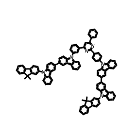 CC1(C)c2ccccc2-c2ccc(-n3c4ccccc4c4cc(-c5ccc6c(c5)c5ccccc5n6-c5ccc(-c6nc(-c7ccccc7)cc(-c7cccc(-n8c9ccccc9c9cc(-c%10ccc%11c(c%10)c%10ccccc%10n%11-c%10ccc%11c(c%10)C(C)(C)c%10ccccc%10-%11)ccc98)c7)n6)cc5)ccc43)cc21